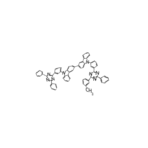 Cc1cccc(-c2nc(-c3ccccc3)nc(-c3cccc(-n4c5ccccc5c5cc(-c6ccc7c(c6)c6ccccc6n7-c6cccc(-c7nc(-c8ccccc8)nc(-c8ccccc8)n7)c6)ccc54)c3)n2)c1